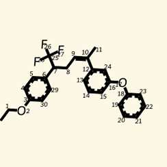 CCOc1ccc(C(CC=C(C)c2cccc(Oc3ccccc3)c2)C(F)(F)F)cc1